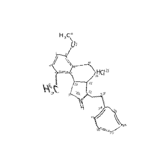 COc1ccc(C)c2c1CCC1C(Cc3ccccc3)NCC21.Cl